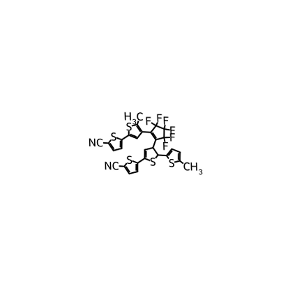 Cc1ccc(C2SC(c3ccc(C#N)s3)=CC2C2=C(c3cc(-c4ccc(C#N)s4)sc3C)C(F)(F)C(F)(F)C2(F)F)s1